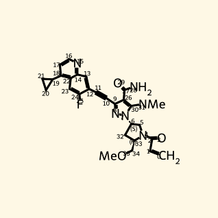 C=CC(=O)N1C[C@@H](n2nc(C#Cc3cc4nccc(C5CC5)c4cc3F)c(C(N)=O)c2NC)C[C@@H]1COC